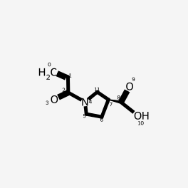 C=CC(=O)N1CC[C@H](C(=O)O)C1